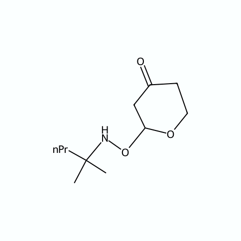 CCCC(C)(C)NOC1CC(=O)CCO1